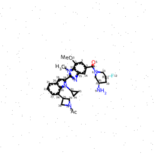 COc1cc(C(=O)N2C[C@H](N)C[C@@H](F)C2)cc2nc(-c3cc4cccc(C5CN(C(C)=O)C5)c4n3C3CC3)n(C)c12